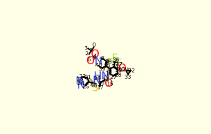 CC(C)(C)OC(=O)N1CC=C(c2c(NC(=O)c3csc(-c4ccnnc4)n3)ccc(OC3CC3)c2C(F)(F)F)CC1